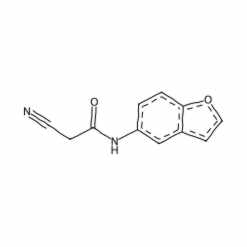 N#CCC(=O)Nc1ccc2occc2c1